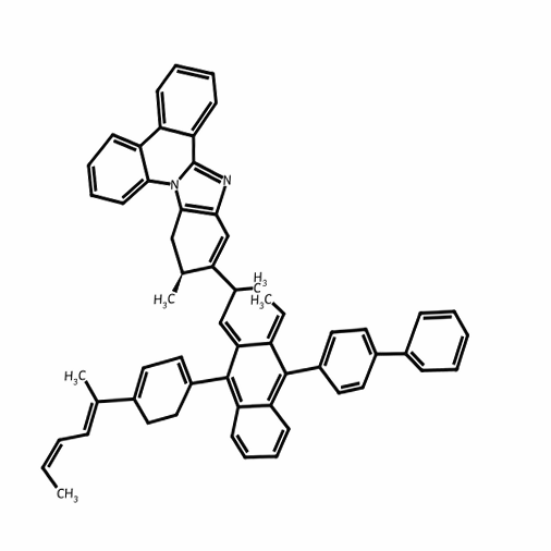 C/C=C\C=C(/C)C1=CC=C(c2c(=C/C(C)C3=Cc4nc5c6ccccc6c6ccccc6n5c4C[C@@H]3C)/c(=C\C)c(-c3ccc(-c4ccccc4)cc3)c3ccccc23)CC1